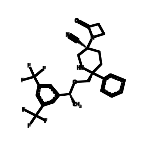 C[C@@H](OC[C@]1(c2ccccc2)CC[C@](C#N)(N2CCC2=O)CN1)c1cc(C(F)(F)F)cc(C(F)(F)F)c1